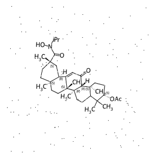 CC(=O)O[C@H]1CC[C@@]2(C)C(CC[C@]3(C)[C@@H]2C(=O)C=C2[C@@H]4C[C@@](C)(C(=O)N(O)C(C)C)CC[C@]4(C)CC[C@]23C)C1(C)C